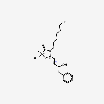 C[N+]1(C(=O)[O-])C[C@H](/C=C/C(O)Cc2ccccc2)N(CCCCCCC#N)C1=O